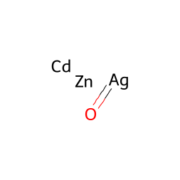 [Cd].[O]=[Ag].[Zn]